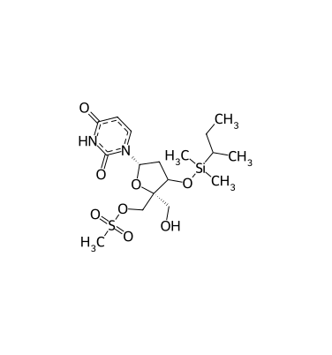 CCC(C)[Si](C)(C)OC1C[C@@H](n2ccc(=O)[nH]c2=O)O[C@]1(CO)COS(C)(=O)=O